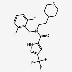 O=C(c1cc(C(F)(F)F)n[nH]1)N(CCC1CCSCC1)Cc1c(F)cccc1F